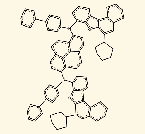 c1ccc(-c2ccc(N(c3ccc4ccc5c(N(c6ccc(-c7ccccc7)cc6)c6cccc7c6oc6c(C8CCCCC8)cc8ccccc8c67)ccc6ccc3c4c65)c3cccc4c3oc3c(C5CCCCC5)cc5ccccc5c34)cc2)cc1